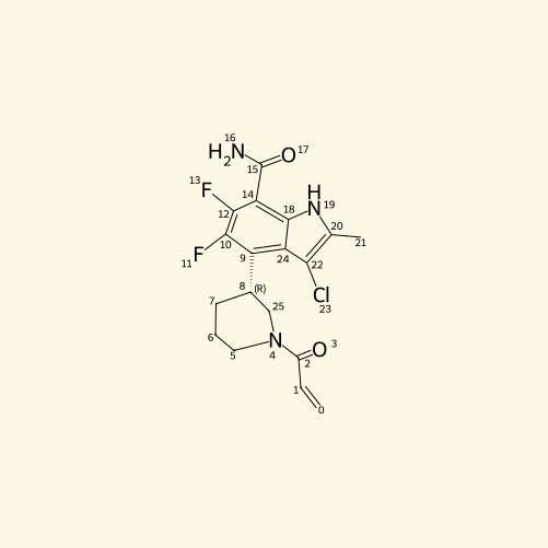 C=CC(=O)N1CCC[C@H](c2c(F)c(F)c(C(N)=O)c3[nH]c(C)c(Cl)c23)C1